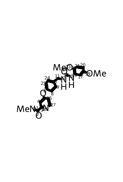 CNC(=O)c1cc(Oc2ccc(CNC(=O)Nc3cc(OC)ccc3OC)cc2)ccn1